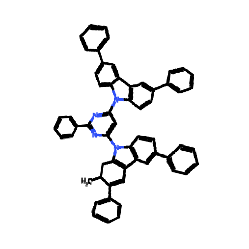 CC1Cc2c(c3cc(-c4ccccc4)ccc3n2-c2cc(-n3c4ccc(-c5ccccc5)cc4c4cc(-c5ccccc5)ccc43)nc(-c3ccccc3)n2)C=C1c1ccccc1